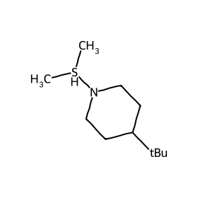 C[SH](C)N1CCC(C(C)(C)C)CC1